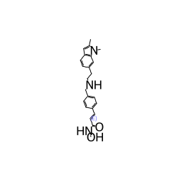 Cc1cc2ccc(CCNCc3ccc(/C=C/C(=O)NO)cc3)cc2n1C